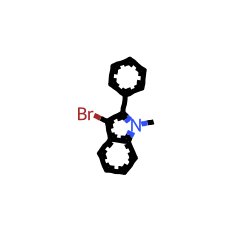 Cn1c(-c2ccccc2)c(Br)c2ccccc21